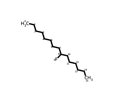 CCCCCCCCC(F)CCCCCC